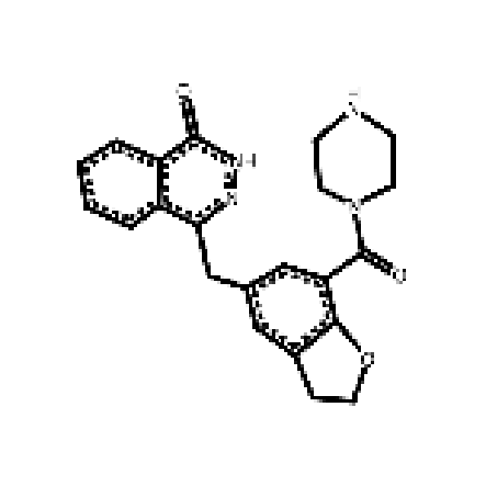 O=C(c1cc(Cc2n[nH]c(=O)c3ccccc23)cc2c1OCC2)N1CCNCC1